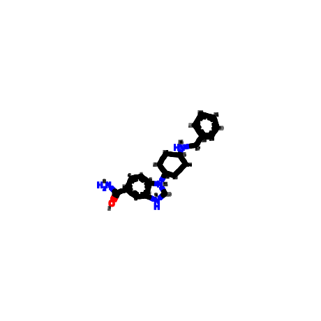 NC(=O)c1ccc2c(c1)N[CH]N2C1CCC(NCc2ccccc2)CC1